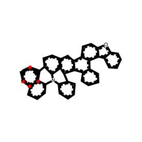 c1ccc(-c2ccccc2N(c2ccccc2-c2cccc3c4ccc5oc6ccccc6c5c4c4ccccc4c23)c2cccc3ccccc23)cc1